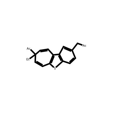 CCC1(C(C)=O)C=Cc2sc3ccc(CC(C)=O)cc3c2C=C1